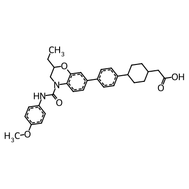 CCC1CN(C(=O)Nc2ccc(OC)cc2)c2ccc(-c3ccc(C4CCC(CC(=O)O)CC4)cc3)cc2O1